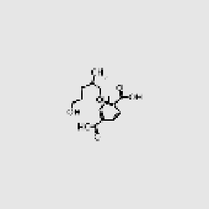 CC(CO)CCCO.O=C(O)c1ccc(C(=O)O)cc1